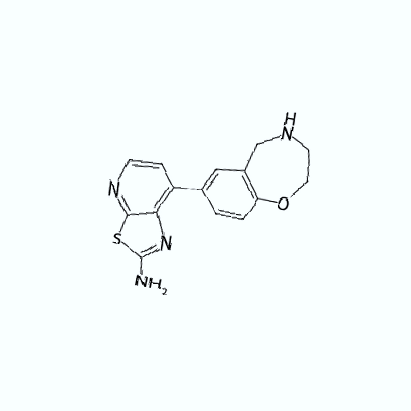 Nc1nc2c(-c3ccc4c(c3)CNCCO4)ccnc2s1